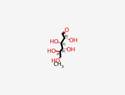 O=C[C@H](O)[C@@H](O)[C@H](O)[C@H](O)CO.[CH3]